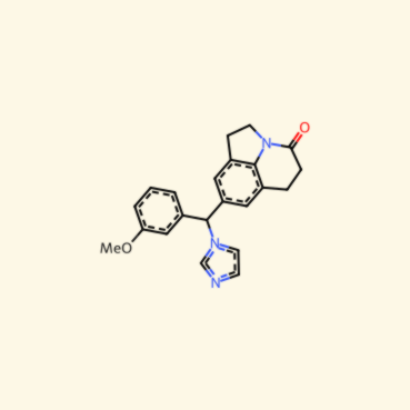 COc1cccc(C(c2cc3c4c(c2)CCN4C(=O)CC3)n2ccnc2)c1